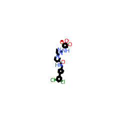 COc1cc(Nc2nccc(N3CCC[C@H](C(=O)NCc4ccc(-c5cc(Cl)cc(Cl)c5)cc4)C3)n2)cc(OC)c1OC